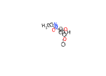 Cc1ccc2nnn(C[C@@H]3CC[C@H](C(=O)c4ccc(OCc5ccccc5)cc4)[C@H]3C(=O)O)c(=O)c2c1